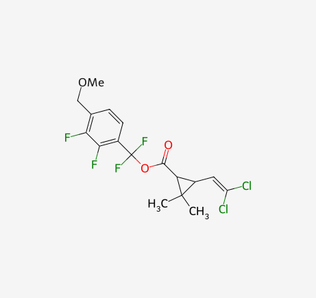 COCc1ccc(C(F)(F)OC(=O)C2C(C=C(Cl)Cl)C2(C)C)c(F)c1F